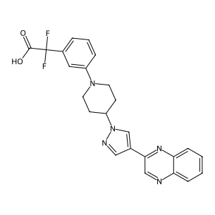 O=C(O)C(F)(F)c1cccc(N2CCC(n3cc(-c4cnc5ccccc5n4)cn3)CC2)c1